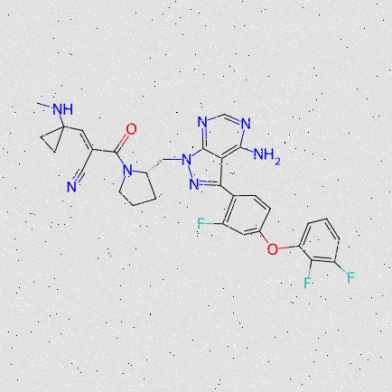 CNC1(C=C(C#N)C(=O)N2CCC[C@H]2Cn2nc(-c3ccc(Oc4cccc(F)c4F)cc3F)c3c(N)ncnc32)CC1